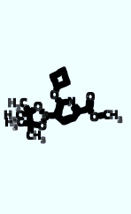 COC(=O)c1ccc(B2OC(C)(C)C(C)(C)O2)c(OC2CCC2)n1